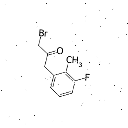 Cc1c(F)cccc1CC(=O)CBr